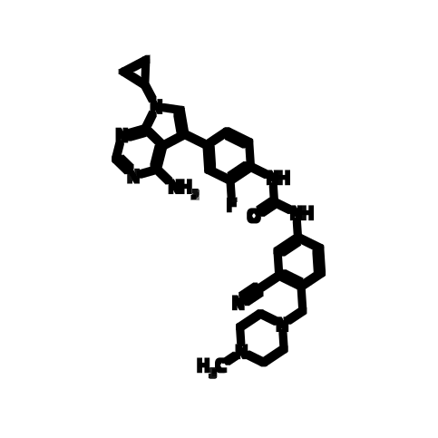 CN1CCN(Cc2ccc(NC(=O)Nc3ccc(-c4cn(C5CC5)c5ncnc(N)c45)cc3F)cc2C#N)CC1